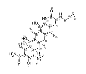 CN(C)[C@@H]1C(O)=C(C(N)=O)C(=O)[C@@]2(O)C(O)=C3C(=O)c4c(O)c5c(c(F)c4C[C@H]3C[C@@H]12)CC(NCC1CC1)C(=O)N5